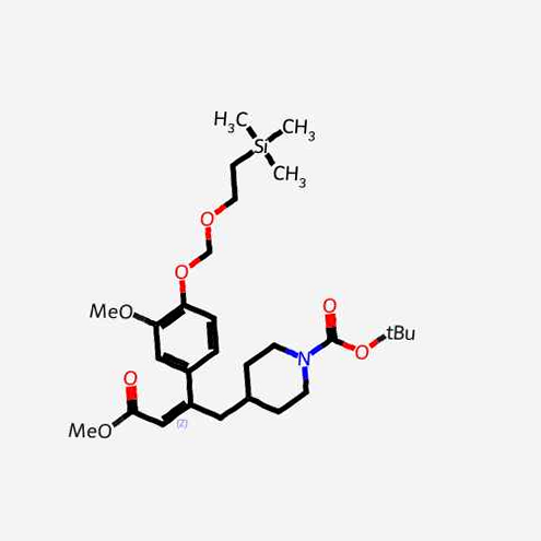 COC(=O)/C=C(/CC1CCN(C(=O)OC(C)(C)C)CC1)c1ccc(OCOCC[Si](C)(C)C)c(OC)c1